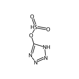 O=[SH](=O)Oc1nnn[nH]1